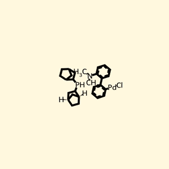 C1CC2CC1CC2PC1C[C@@H]2CC[C@H]1C2.CN(C)c1ccccc1-c1cccc[c]1[Pd][Cl]